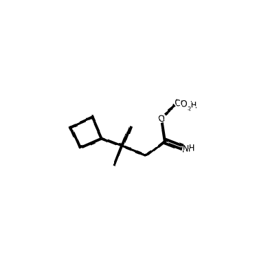 CC(C)(CC(=N)OC(=O)O)C1CCC1